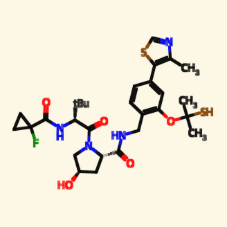 Cc1ncsc1-c1ccc(CNC(=O)[C@@H]2C[C@@H](O)CN2C(=O)[C@@H](NC(=O)C2(F)CC2)C(C)(C)C)c(OC(C)(C)S)c1